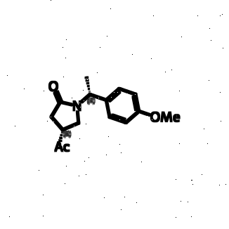 COc1ccc([C@@H](C)N2C[C@H](C(C)=O)CC2=O)cc1